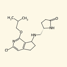 CC(C)COc1nc(Cl)cc2c1C(NC[C@@H]1CCC(=O)N1)CC2